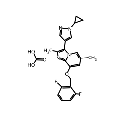 Cc1cc(OCc2c(F)cccc2F)c2nc(C)c(-c3cnn(C4CC4)c3)n2c1.O=C(O)O